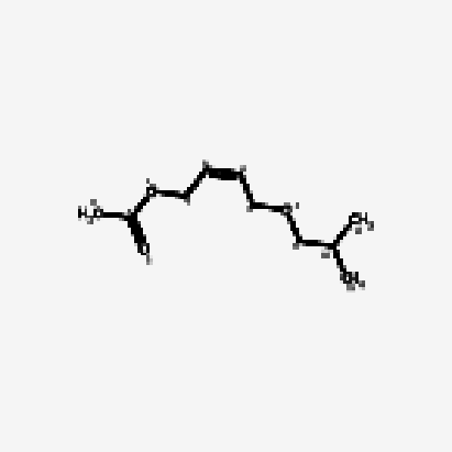 CC(=O)OC/C=C\COCC(C)C